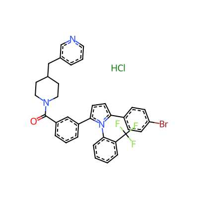 Cl.O=C(c1cccc(-c2ccc(-c3ccc(Br)cc3)n2-c2ccccc2C(F)(F)F)c1)N1CCC(Cc2cccnc2)CC1